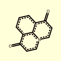 O=c1ccn2ccc(=O)c3cccc1c32